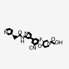 N#Cc1cc(-c2ccnc(NC(=O)[C@H]3C[C@@H]3c3cccnc3)c2)ccc1O[C@H]1CCN(C(=O)CO)C[C@H]1F